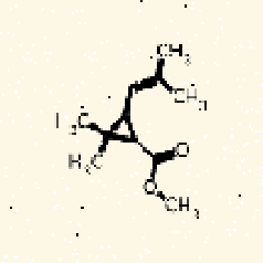 COC(=O)[C@@H]1C(C=C(C)C)C1(C)C